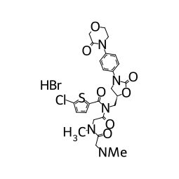 Br.CNCC(=O)N(C)CC(=O)N(C[C@H]1CN(c2ccc(N3CCOCC3=O)cc2)C(=O)O1)C(=O)c1ccc(Cl)s1